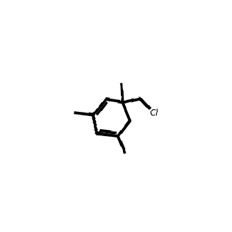 CC1=CC(C)(CCl)CC(C)=C1